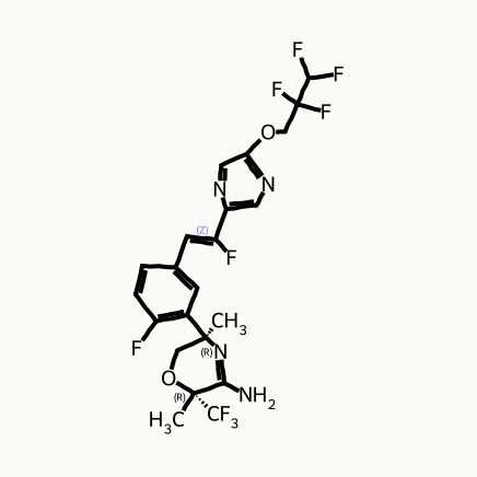 C[C@@]1(c2cc(/C=C(\F)c3cnc(OCC(F)(F)C(F)F)cn3)ccc2F)CO[C@@](C)(C(F)(F)F)C(N)=N1